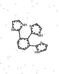 c1cc(-c2ncc[nH]2)c(-c2ncc[nH]2)c(-c2ncc[nH]2)c1